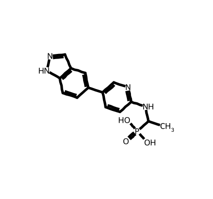 CC(Nc1ccc(-c2ccc3[nH]ncc3c2)cn1)P(=O)(O)O